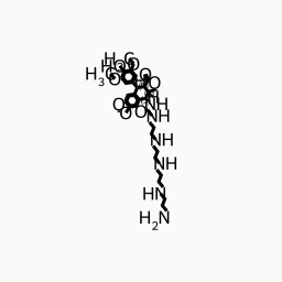 COc1cc(C2c3cc4c(cc3[C@@H](NC(=O)NCCCNCCCNCCCCNCCCN)[C@H]3COC(=O)[C@H]23)OCO4)cc(OC)c1O